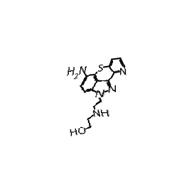 Nc1ccc2c3c(nn2CCNCCO)-c2ncccc2Sc13